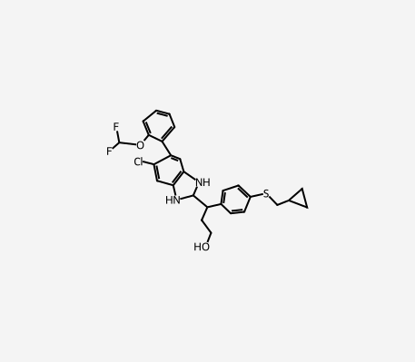 OCCC(c1ccc(SCC2CC2)cc1)C1Nc2cc(Cl)c(-c3ccccc3OC(F)F)cc2N1